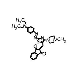 CCN(CC)c1ccc(N=Nc2nc(N3CCN(C)CC3)c(C=C3C(=O)c4ccccc4C3=O)s2)cc1